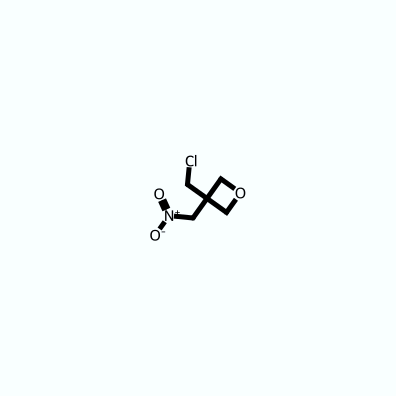 O=[N+]([O-])CC1(CCl)COC1